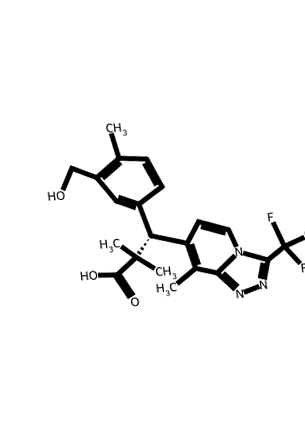 Cc1ccc([C@H](c2ccn3c(C(F)(F)F)nnc3c2C)C(C)(C)C(=O)O)cc1CO